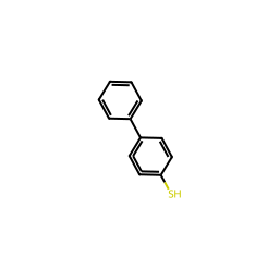 SC1=C=C=C(c2ccccc2)C=C1